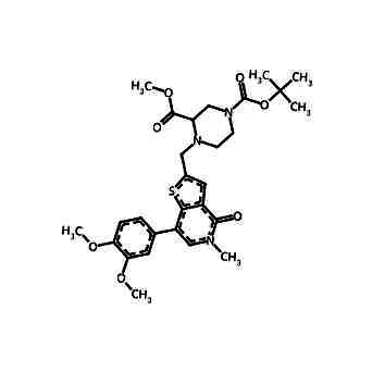 COC(=O)C1CN(C(=O)OC(C)(C)C)CCN1Cc1cc2c(=O)n(C)cc(-c3ccc(OC)c(OC)c3)c2s1